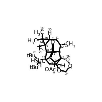 CC(=O)OC1C(C)=C[C@@]23C(=O)[C@H]([C@H]4[C@@H](C[C@H]2C)C4(C)C)[C@H]([SiH](C(C)(C)C)C(C)(C)C)C[C@H]2OCOO[C@]123